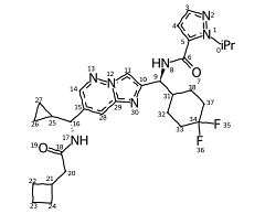 CC(C)n1nccc1C(=O)N[C@H](c1cn2ncc([C@H](NC(=O)CC3CCC3)C3CC3)cc2n1)C1CCC(F)(F)CC1